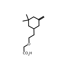 C=C1CC(CCOCC(=O)O)CC(C)(C)C1